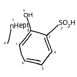 CCCCCCCC.O=S(=O)(O)c1ccccc1O